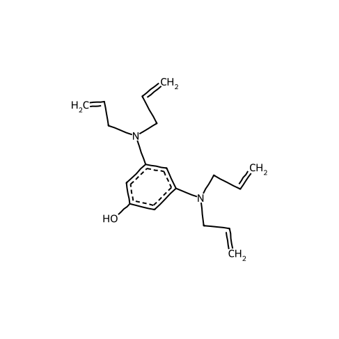 C=CCN(CC=C)c1cc(O)cc(N(CC=C)CC=C)c1